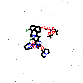 C#Cc1c(F)ccc2cc(OCOP(=O)(OC(C)(C)C)OC(C)(C)C)cc(-c3nc(F)c4c(N5CC6CCC(C5)N6C(=O)OC(C)(C)C)nc(OCC56CCCN5CCC6)nc4c3F)c12